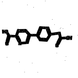 O=C(O)Cc1ccc(-c2ccc(C(=O)O)nc2)cc1